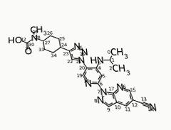 CC(C)Nc1cc(-n2ncc3cc(C#N)cnc32)ncc1-n1cc(C2CCC(N(C)C(=O)O)CC2)nn1